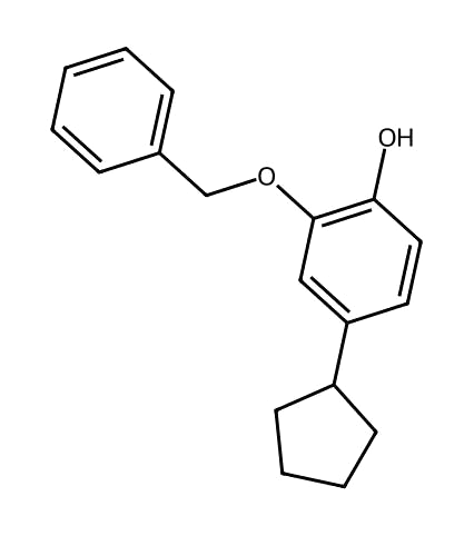 Oc1ccc(C2CCCC2)cc1OCc1ccccc1